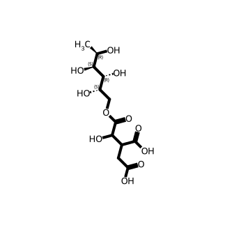 C[C@@H](O)[C@H](O)[C@H](O)[C@@H](O)COC(=O)C(O)C(CC(=O)O)C(=O)O